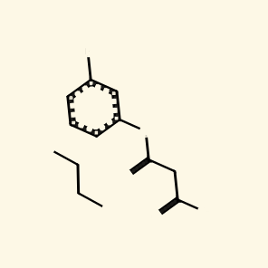 CCCC.O=C(O)CC(=O)Oc1cccc(Br)c1